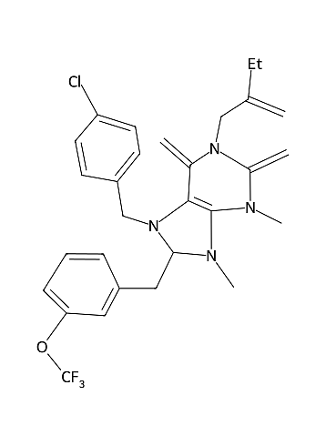 C=C(CC)CN1C(=C)C2=C(N(C)C1=C)N(C)C(Cc1cccc(OC(F)(F)F)c1)N2Cc1ccc(Cl)cc1